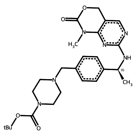 C[C@H](Nc1ncc2c(n1)N(C)C(=O)OC2)c1ccc(CN2CCN(C(=O)OC(C)(C)C)CC2)cc1